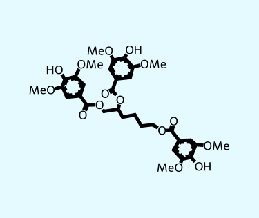 COc1cc(C(=O)OCCCCC(COC(=O)c2cc(OC)c(O)c(OC)c2)OC(=O)c2cc(OC)c(O)c(OC)c2)cc(OC)c1O